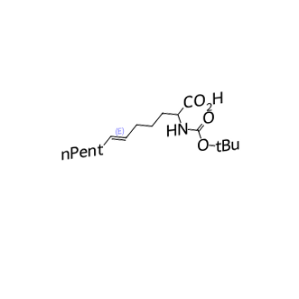 CCCCC/C=C/CCCC(NC(=O)OC(C)(C)C)C(=O)O